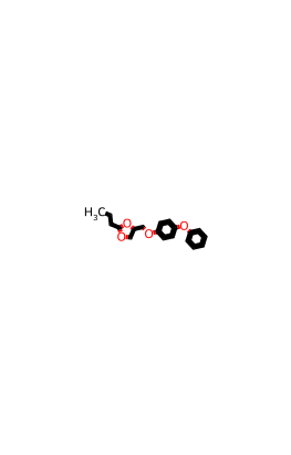 CCCC1OCC(COc2ccc(Oc3ccccc3)cc2)O1